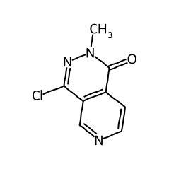 Cn1nc(Cl)c2cnccc2c1=O